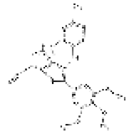 COc1cc(-c2nc3c(C#N)c[nH]n3c2Nc2ccc(C)cc2C)cc(OC)c1OC